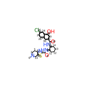 CN1CCc2nc(C(=O)N[C@H]3CCCC[C@H]3NC(=O)c3cc(O)c4cc(Cl)ccc4c3)sc2C1